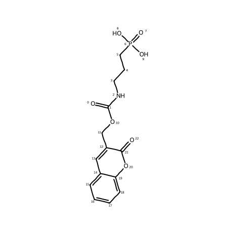 O=C(NCCCP(=O)(O)O)OCc1cc2ccccc2oc1=O